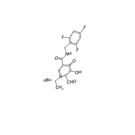 CCCC[C@@H](C)n1cc(C(=O)NCc2c(F)cc(F)cc2F)c(=O)c(O)c1C=O